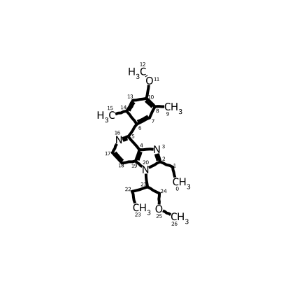 CCc1nc2c(-c3cc(C)c(OC)cc3C)nccc2n1C(CC)COC